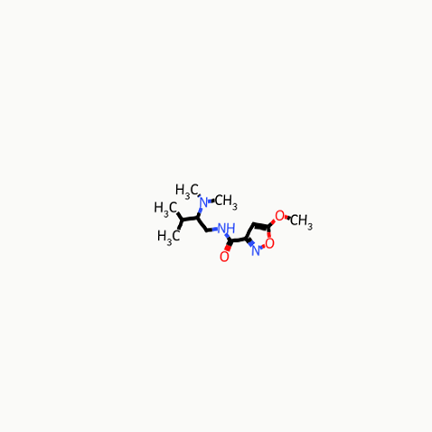 COc1cc(C(=O)NCC(C(C)C)N(C)C)no1